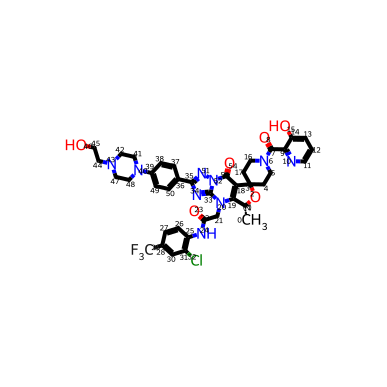 C[C@H]1OC2(CCN(C(=O)c3ncccc3O)CC2)c2c1n(CC(=O)Nc1ccc(C(F)(F)F)cc1Cl)c1nc(-c3ccc(N4CCN(CCO)CC4)cc3)nn1c2=O